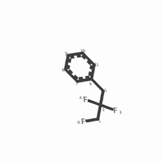 FCC(F)(F)Cc1cc[c]cc1